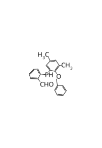 Cc1cc(C)c(OCc2ccccc2)c(Pc2ccccc2C=O)c1